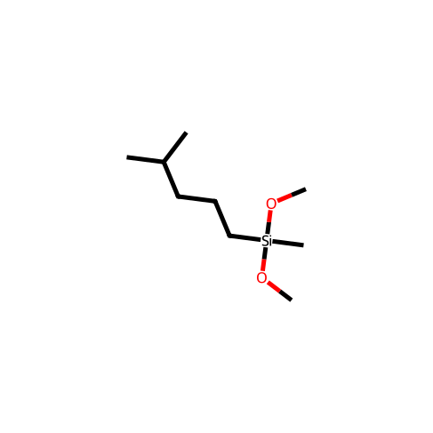 CO[Si](C)(CCCC(C)C)OC